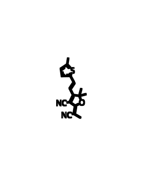 C/C(C#N)=C1\OC(C)(C)C(/C=C/c2ccc(C)s2)=C1C#N